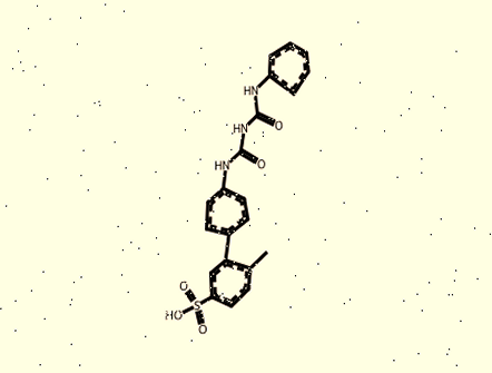 Cc1ccc(S(=O)(=O)O)cc1-c1ccc(NC(=O)NC(=O)Nc2ccccc2)cc1